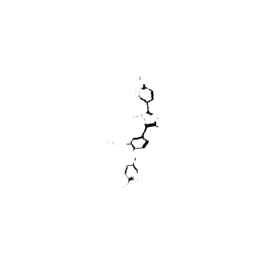 COc1cc(-c2[nH]c(-c3ccc(F)nc3)nc2Cl)ccc1OCc1ccc(C(F)(F)F)nc1